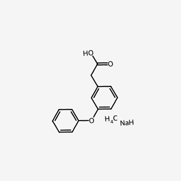 C.O=C(O)Cc1cccc(Oc2ccccc2)c1.[NaH]